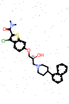 CN(C)C(=O)c1sc2cc(OC[C@@H](O)CN3CCC(c4cccc5ccccc45)CC3)ccc2c1Cl